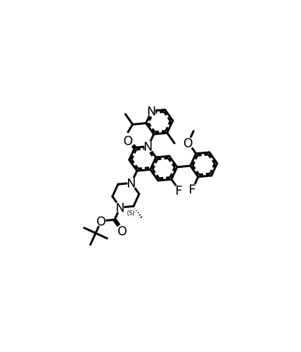 COc1cccc(F)c1-c1cc2c(cc1F)c(N1CCN(C(=O)OC(C)(C)C)[C@@H](C)C1)cc(=O)n2-c1c(C)ccnc1C(C)C